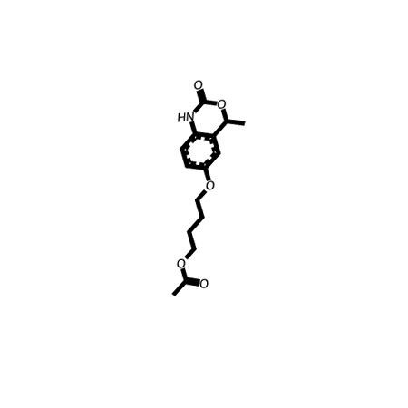 CC(=O)OCCCCOc1ccc2c(c1)C(C)OC(=O)N2